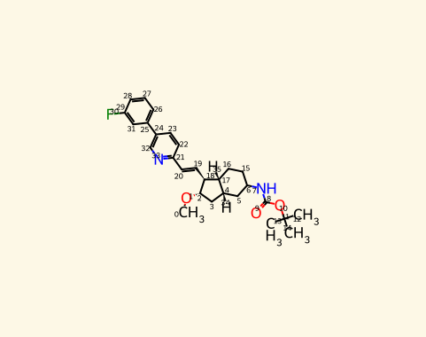 CO[C@H]1C[C@H]2CC(NC(=O)OC(C)(C)C)CC[C@H]2[C@@H]1/C=C/c1ccc(-c2cccc(F)c2)cn1